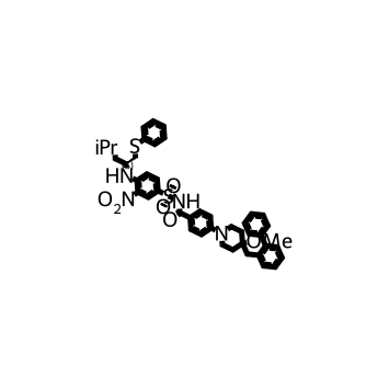 COC1(Cc2ccccc2-c2ccccc2)CCN(c2ccc(C(=O)NS(=O)(=O)c3ccc(N[C@H](CSc4ccccc4)CC(C)C)c([N+](=O)[O-])c3)cc2)CC1